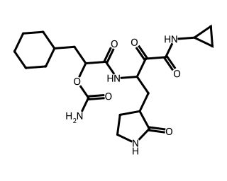 NC(=O)OC(CC1CCCCC1)C(=O)NC(CC1CCNC1=O)C(=O)C(=O)NC1CC1